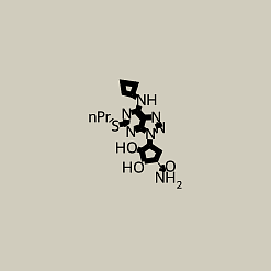 CCCSc1nc(NC2CCC2)c2nnn(C3C[C@H](C(N)=O)C(O)C3O)c2n1